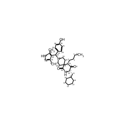 CCCCN1C(=O)[C@H](CC2CCCCC2)NC(=O)C12CCN(C(c1ccc(O)cc1)c1c(C)n[nH]c1C)CC2